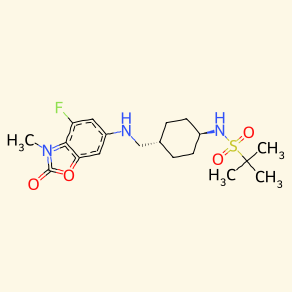 Cn1c(=O)oc2cc(NC[C@H]3CC[C@H](NS(=O)(=O)C(C)(C)C)CC3)cc(F)c21